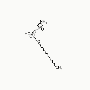 CCCCCCCCCCCCCCCCOCCCOP(=O)(O)COCCn1ccc(N)nc1=O